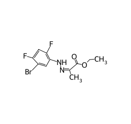 CCOC(=O)C(C)=NNc1cc(Br)c(F)cc1F